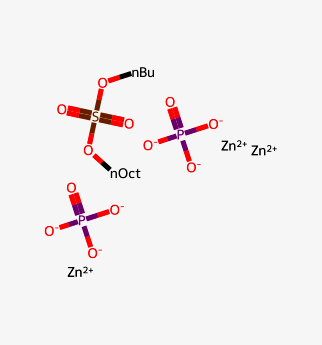 CCCCCCCCOS(=O)(=O)OCCCC.O=P([O-])([O-])[O-].O=P([O-])([O-])[O-].[Zn+2].[Zn+2].[Zn+2]